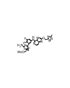 COC[C@]12C[C@H]1[C@](C)(c1cc(Nc3nccc4nc(OCc5nc(C)no5)cnc34)cc(F)c1F)N=C(N)S2